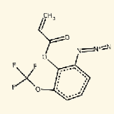 C=CC(=O)Oc1c(N=[N+]=[N-])cccc1OC(F)(F)F